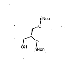 CCCCCCCCCOC[C@H](CO)OCCCCCCCCC